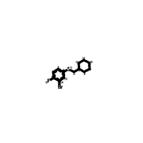 Fc1ccc(SCC2CCCCC2)cc1Br